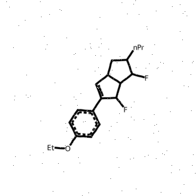 CCCC1CC2C=C(c3ccc(OCC)cc3)C(F)C2C1F